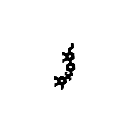 CCCc1ccc(-c2ccc(OC(F)(F)c3cc(F)c(F)c(F)c3)cc2)c(F)c1F